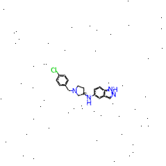 Clc1ccc(CN2CC[C@@H](Nc3ccc4[nH]ncc4c3)C2)cc1